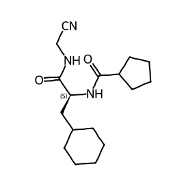 N#CCNC(=O)[C@H](CC1CCCCC1)NC(=O)C1CCCC1